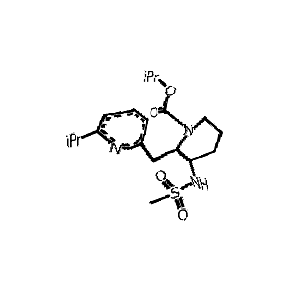 CC(C)OC(=O)N1CCCC(NS(C)(=O)=O)C1Cc1cccc(C(C)C)n1